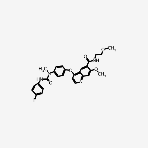 COCCNC(=O)c1cc2c(Oc3ccc(N(C)C(=O)Nc4ccc(F)cc4)cc3)ccnc2cc1OC